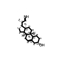 C[C@H](C=N)[C@H]1CCC2[C@@H]3CC=C4C[C@@H](O)CC[C@]4(C)[C@H]3CC[C@@]21C